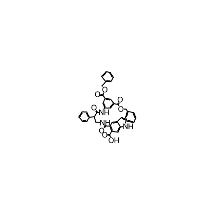 O=C(OCc1ccccc1)c1cc(NC(=O)C(CNC(=O)c2cc3cc[nH]c3cc2C(=O)O)c2ccccc2)cc(C(=O)OCc2ccccc2)c1